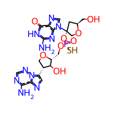 Nc1nc2c(ncn2[C@]2(OP(=O)(S)OC[C@H]3OC[C@@H](c4cnc5c(N)ncnn45)[C@@H]3O)CO[C@H](CO)C2)c(=O)[nH]1